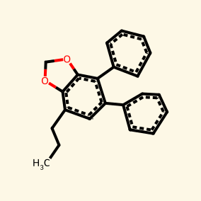 CCCc1[c]c(-c2ccccc2)c(-c2ccccc2)c2c1OCO2